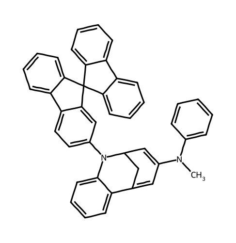 CN(C1=CC2CC(=C1)c1ccccc1N2c1ccc2c(c1)C1(c3ccccc3-c3ccccc31)c1ccccc1-2)c1ccccc1